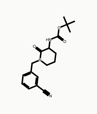 CC(C)(C)OC(=O)NC1CCCN(Cc2cccc(C#N)c2)C1=O